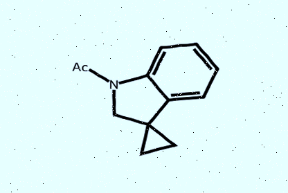 CC(=O)N1CC2(CC2)c2ccccc21